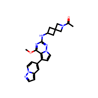 COc1nc(NC2CC3(C2)CN(C(C)=O)C3)nn2ccc(-c3ccn4nccc4c3)c12